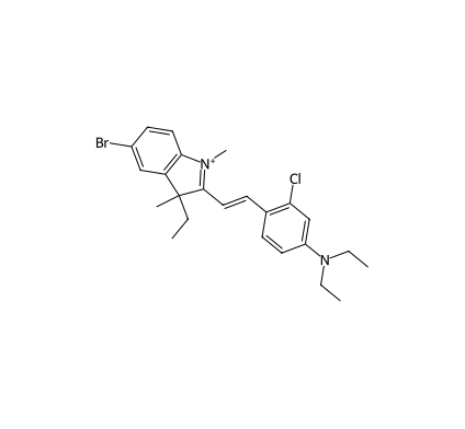 CCN(CC)c1ccc(/C=C/C2=[N+](C)c3ccc(Br)cc3C2(C)CC)c(Cl)c1